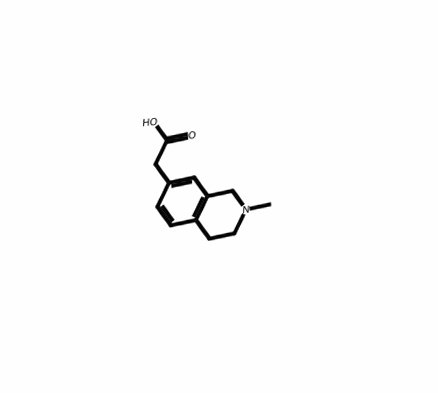 CN1CCc2ccc(CC(=O)O)cc2C1